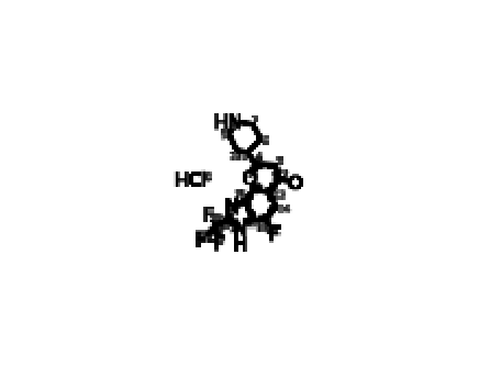 Cl.O=c1cc(C2CCNCC2)oc2c1cc(F)c1[nH]c(C(F)(F)F)nc12